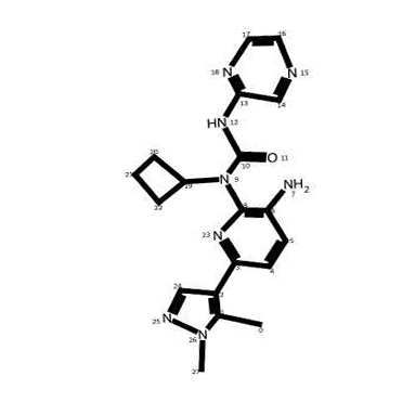 Cc1c(-c2ccc(N)c(N(C(=O)Nc3cnccn3)C3CCC3)n2)cnn1C